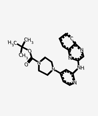 CC(C)(C)OC(=O)N1CCN(c2ccnc(Nc3cnc4ccccc4n3)c2)CC1